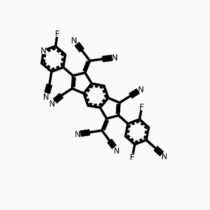 N#CC(C#N)=C1C(c2cc(F)c(C#N)cc2F)=C(C#N)c2cc3c(cc21)C(C#N)=C(c1cc(F)ncc1C#N)C3=C(C#N)C#N